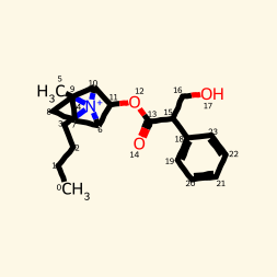 CCCC[N+]1(C)C2C3CC3C1C2OC(=O)C(CO)c1ccccc1